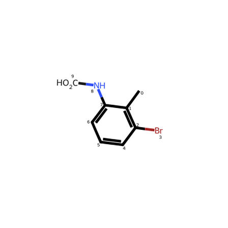 Cc1c(Br)cccc1NC(=O)O